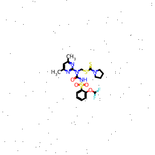 Cc1cc(C)nc(N(CSC(=S)N2CCCC2)C(=O)NS(=O)(=O)c2ccccc2OC(F)F)n1